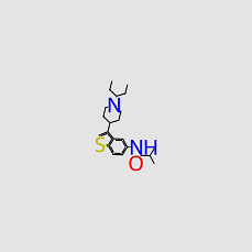 CCC(CC)N1CCC(c2csc3ccc(NC(=O)C(C)C)cc23)CC1